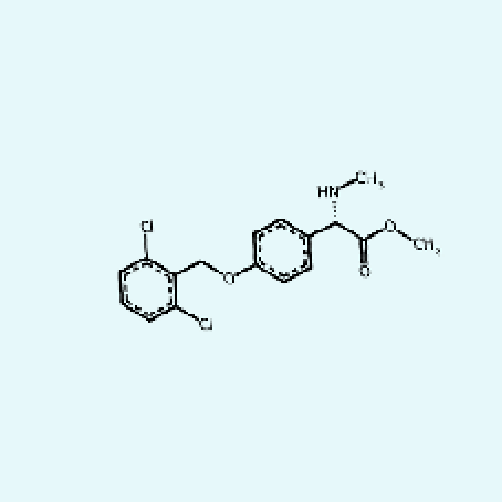 CN[C@H](C(=O)OC)c1ccc(OCc2c(Cl)cccc2Cl)cc1